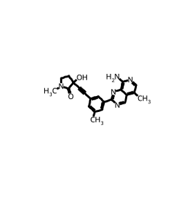 Cc1cc(C#CC2(O)CCN(C)C2=O)cc(-c2ncc3c(C)cnc(N)c3n2)c1